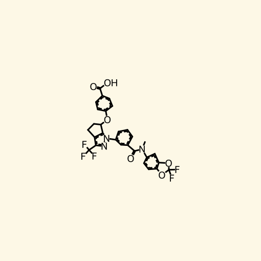 CN(C(=O)c1cccc(-n2nc(C(F)(F)F)c3c2C(Oc2ccc(C(=O)O)cc2)CC3)c1)c1ccc2c(c1)OC(F)(F)O2